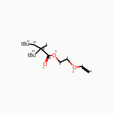 C=COCCOC(=O)C(C)(CC(C)(C)C)C(C)(C)C